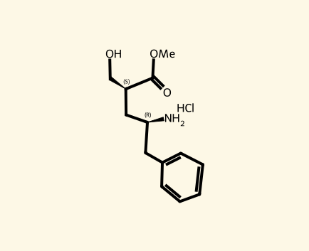 COC(=O)[C@H](CO)C[C@@H](N)Cc1ccccc1.Cl